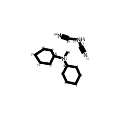 CN(C1CCCCC1)C1CCCCC1.N#CNC#N